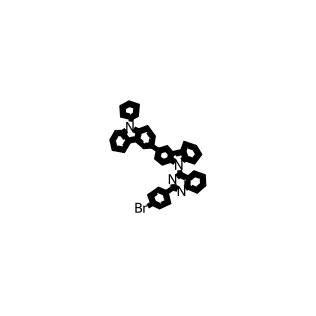 Brc1ccc(-c2nc(-n3c4ccccc4c4cc(-c5ccc6c(c5)c5ccccc5n6-c5ccccc5)ccc43)c3ccccc3n2)cc1